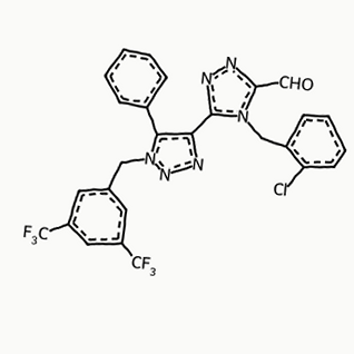 O=Cc1nnc(-c2nnn(Cc3cc(C(F)(F)F)cc(C(F)(F)F)c3)c2-c2ccccc2)n1Cc1ccccc1Cl